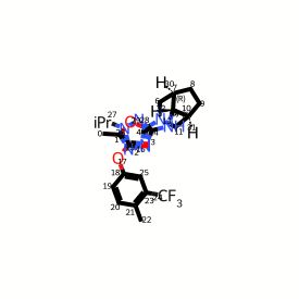 Cc1nnc(N2C[C@H]3CC[C@@H](C2)[C@@H]3Nc2nc(Oc3ccc(C)c(C(F)(F)F)c3)n(C(C)C)n2)o1